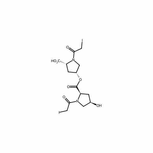 O=C(O)[C@H]1C[C@@H](OC(=O)[C@H]2C[C@@H](O)CN2C(=O)CI)CN1C(=O)CI